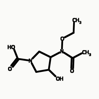 CCON(C(C)=O)C1CN(C(=O)O)CC1O